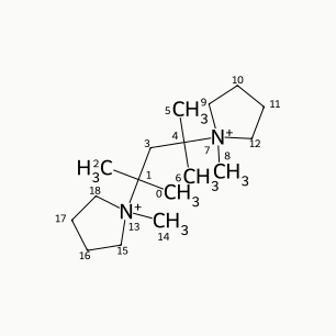 CC(C)(CC(C)(C)[N+]1(C)CCCC1)[N+]1(C)CCCC1